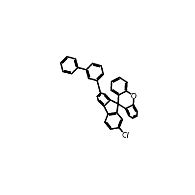 Clc1ccc2c(c1)C1(c3ccccc3Oc3ccccc31)c1cc(-c3cccc(-c4ccccc4)c3)ccc1-2